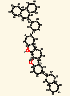 c1cc(-c2ccc3oc4c(ccc5c6cc(-c7ccc8ccccc8c7)ccc6oc54)c3c2)cc(-c2cc3ccccc3c3ccccc23)c1